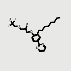 CCCCCCCCc1cc(-c2ncccn2)ccc1OCC(F)COCC(F)(F)F